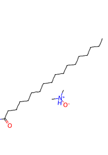 CCCCCCCCCCCCCCCCCC(N)=O.C[NH+](C)[O-]